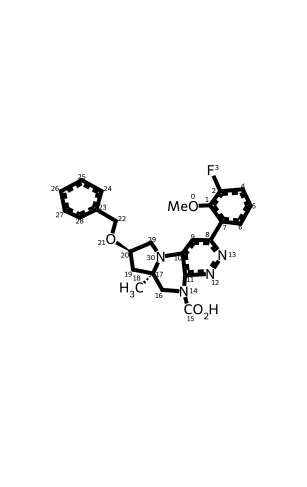 COc1c(F)cccc1-c1cc2c(nn1)N(C(=O)O)C[C@@]1(C)C[C@@H](OCc3ccccc3)CN21